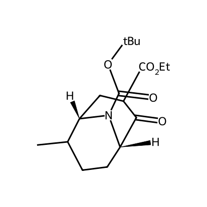 CCOC(=O)C1C[C@H]2C(C)CC[C@@H](C1=O)N2C(=O)OC(C)(C)C